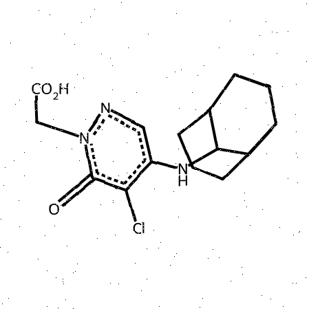 O=C(O)Cn1ncc(NC2C3CCCC2CCC3)c(Cl)c1=O